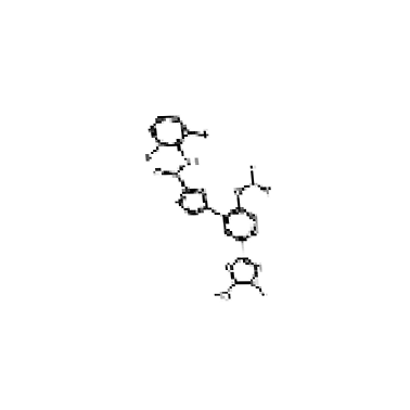 CN1N=C(c2ccc(OC(F)F)c(-c3ccc(C(=O)Nc4c(F)cccc4F)s3)c2)OC1O